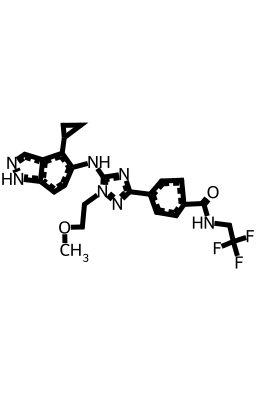 COCCn1nc(-c2ccc(C(=O)NCC(F)(F)F)cc2)nc1Nc1ccc2[nH]ncc2c1C1CC1